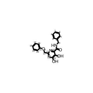 O=C(NCc1ccccc1)c1nc(COc2ccccc2)nc(O)c1O